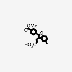 COC(=O)c1ccc(-c2c(C=CC(=O)O)c3cc(C)ccc3n2C)cc1